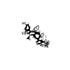 N#Cc1ccc2c(c1)[nH]c1c2c(=O)c2cc(C(F)(F)F)c(-c3cncc(OS(=O)(=O)F)c3)cc2n1C1CC1